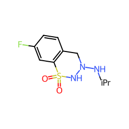 CC(C)NN1Cc2ccc(F)cc2S(=O)(=O)N1